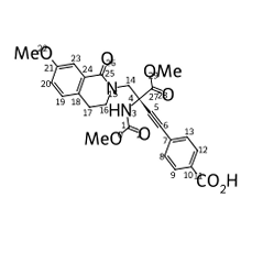 COC(=O)N[C@](C#Cc1ccc(C(=O)O)cc1)(CN1CCc2ccc(OC)cc2C1=O)C(=O)OC